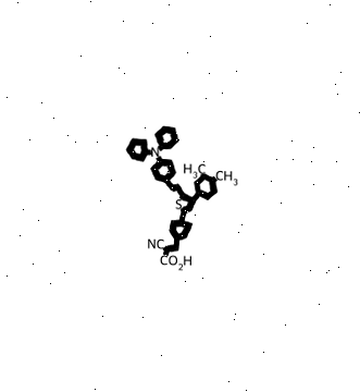 CC1=CC=C(c2cc(-c3ccc(/C=C(\C#N)C(=O)O)cc3)sc2/C=C/c2ccc(N(c3ccccc3)c3ccccc3)cc2)CC1C